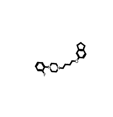 Fc1ccccc1N1CCN(CCCCOc2ccc3c(c2)CCC3)CC1